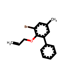 C=CCOc1c(Br)cc(C)cc1-c1ccccc1